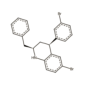 Brc1cccc([C@@H]2C[C@H](Cc3ccccc3)Nc3ccc(Br)cc32)c1